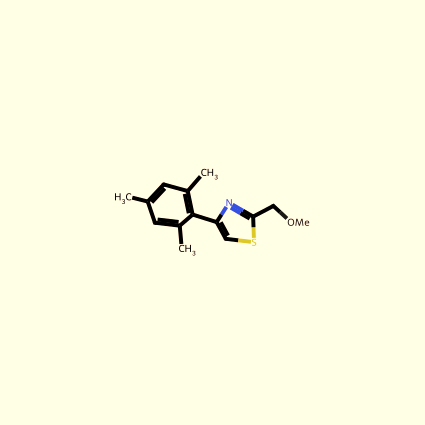 COCc1nc(-c2c(C)cc(C)cc2C)cs1